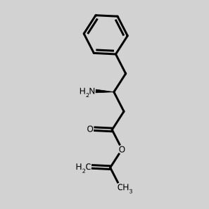 C=C(C)OC(=O)C[C@@H](N)Cc1ccccc1